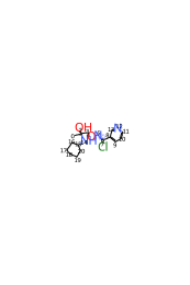 CC(O)(CO/N=C(\Cl)c1cccnc1)NC1CCCCC1